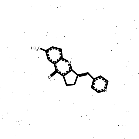 O=C(O)c1ccc2oc3c(c(=O)c2c1)CCC3=Cc1ccncc1